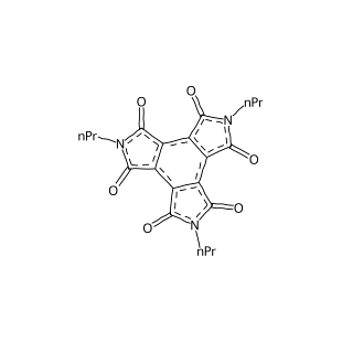 CCCn1c(=O)c2c3c(=O)n(CCC)c(=O)c3c3c(=O)n(CCC)c(=O)c3c2c1=O